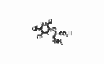 NCC(Oc1cc(Cl)c(Cl)cc1Cl)C(=O)O